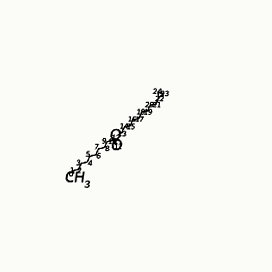 CCCCCCCCCCC(=O)OCCCCCCCCCC1CC1